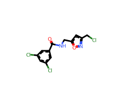 O=C(NCc1cc(CCl)no1)c1cc(Cl)cc(Cl)c1